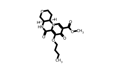 CCCCOc1c2n(cc(C(=O)OC)c1=O)[C@@H]1CCOC[C@@H]1NC2=O